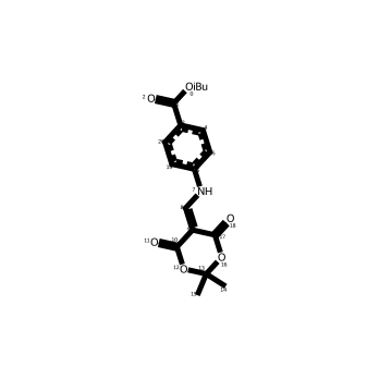 CC(C)COC(=O)c1ccc(NC=C2C(=O)OC(C)(C)OC2=O)cc1